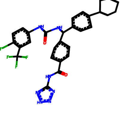 O=C(Nc1ccc(F)c(C(F)(F)F)c1)NC(c1ccc(C(=O)Nc2nn[nH]n2)cc1)c1ccc(C2CCCCC2)cc1